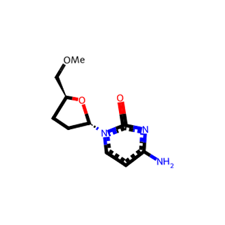 COC[C@@H]1CC[C@@H](n2ccc(N)nc2=O)O1